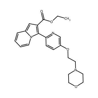 CCOC(=O)c1cc2ccccn2c1-c1ccc(OCCN2CCOCC2)cn1